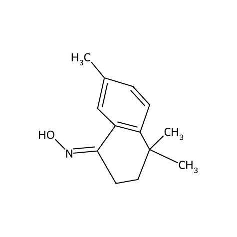 Cc1ccc2c(c1)/C(=N\O)CCC2(C)C